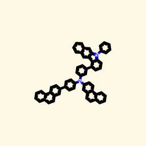 c1ccc(-n2c3cc4ccccc4cc3c3c(-c4cccc(N(c5ccc(-c6ccc7c(ccc8ccccc87)c6)cc5)c5ccc6c(ccc7ccccc76)c5)c4)cccc32)cc1